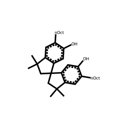 CCCCCCCCc1cc2c(cc1O)C1(CC2(C)C)CC(C)(C)c2cc(CCCCCCCC)c(O)cc21